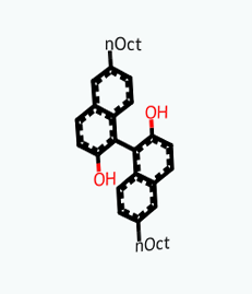 CCCCCCCCc1ccc2c(-c3c(O)ccc4cc(CCCCCCCC)ccc34)c(O)ccc2c1